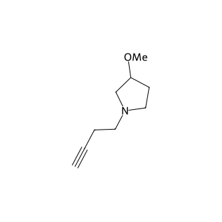 C#CCCN1CCC(OC)C1